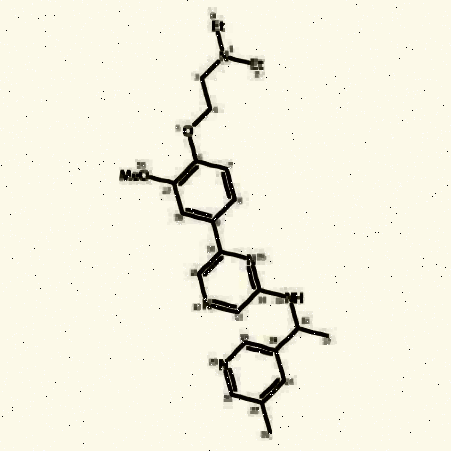 CCN(CC)CCOc1ccc(-c2cncc(NC(C)c3cncc(C)c3)n2)cc1OC